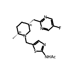 CC(=O)Nc1ncc(CN2C[C@@H](Cc3ncc(F)cn3)CC[C@H]2C)s1